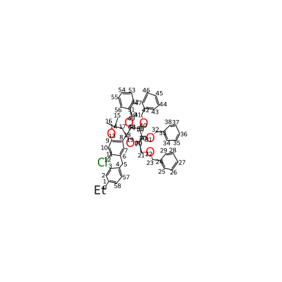 CCc1ccc(Cc2cc3c(cc2Cl)OC(C)(C)CC32O[C@H](COCc3ccccc3)[C@@H](OCc3ccccc3)[C@H](OCc3ccccc3)[C@H]2OCc2ccccc2)cc1